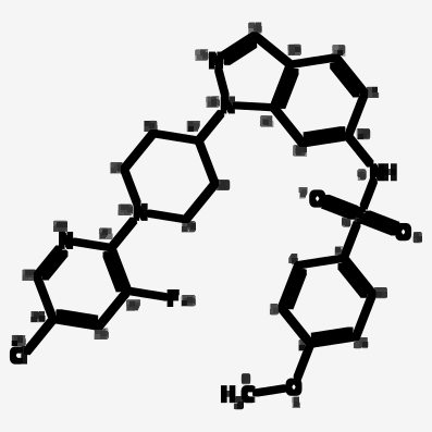 COc1ccc(S(=O)(=O)Nc2ccc3cnn(C4CCN(c5ncc(Cl)cc5F)CC4)c3c2)cc1